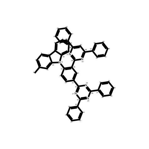 Cc1ccc2c3ccccc3n(-c3ccc(-c4nc(-c5ccccc5)nc(-c5ccccc5)n4)cc3-c3nc(-c4ccccc4)cc(-c4ccccc4)n3)c2c1